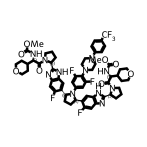 COC(=O)N[C@H](C(=O)N1CCC[C@H]1c1nc2cc(F)c([C@H]3CC[C@H](c4cc5[nH]c([C@@H]6CCCN6C(=O)[C@@H](NC(=O)OC)C6CCOCC6)nc5cc4F)N3c3cc(F)c(N4CCN(c5ccc(C(F)(F)F)cc5)CC4)c(F)c3)cc2[nH]1)C1CCOCC1